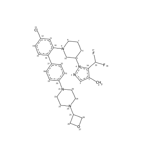 Cc1cnn(C2CCCN(c3cc(Cl)ccc3-c3ccc(N4CCN(C5COC5)CC4)cc3)C2)c1C(F)F